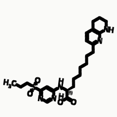 CCCS(=O)(=O)c1cc(N[C@@H](CCCCCCCc2ccc3c(n2)NCCC3)C(=O)O)ncn1